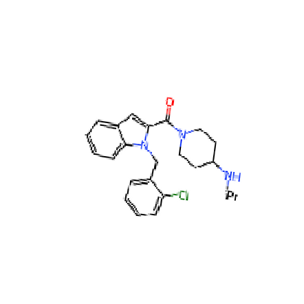 CC(C)NC1CCN(C(=O)c2cc3ccccc3n2Cc2ccccc2Cl)CC1